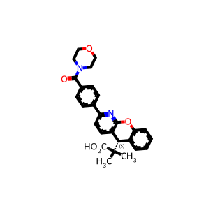 CC(C)(C(=O)O)[C@H]1c2ccccc2Oc2nc(-c3ccc(C(=O)N4CCOCC4)cc3)ccc21